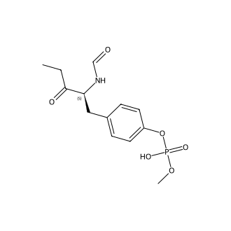 CCC(=O)[C@H](Cc1ccc(OP(=O)(O)OC)cc1)NC=O